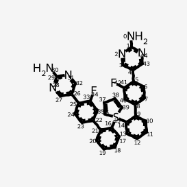 Nc1ncc(-c2ccc(-c3ccccc3S3(c4ccccc4-c4ccc(-c5cnc(N)nc5)c(F)c4)C=CC=C3)cc2F)cn1